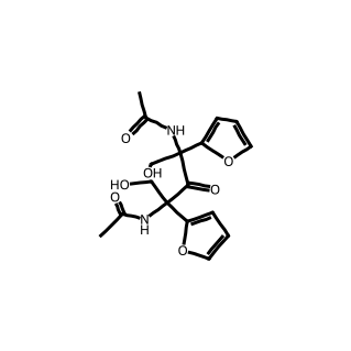 CC(=O)NC(CO)(C(=O)C(CO)(NC(C)=O)c1ccco1)c1ccco1